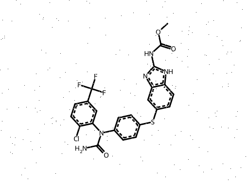 COC(=O)Nc1nc2cc(Sc3ccc(N(C(N)=O)c4cc(C(F)(F)F)ccc4Cl)cc3)ccc2[nH]1